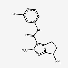 Cn1cc2c(c1C(=O)Nc1ccnc(C(F)(F)F)c1)CCC2N